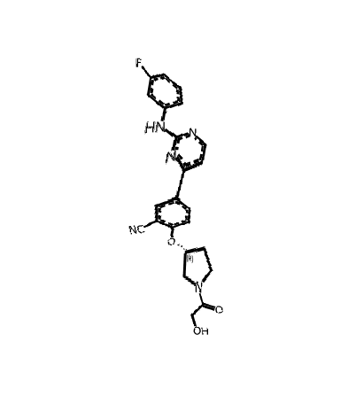 N#Cc1cc(-c2ccnc(Nc3cccc(F)c3)n2)ccc1O[C@@H]1CCN(C(=O)CO)C1